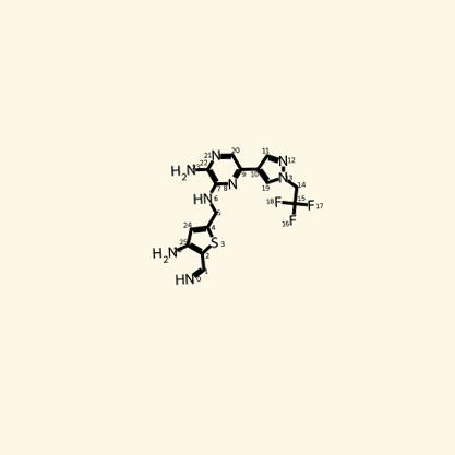 N=Cc1sc(CNc2nc(-c3cnn(CC(F)(F)F)c3)cnc2N)cc1N